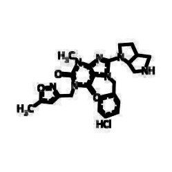 Cc1cc(Cn2c(=O)c3c(nc(N4CCC5CNCC54)n3Cc3ccccc3)n(C)c2=O)no1.Cl